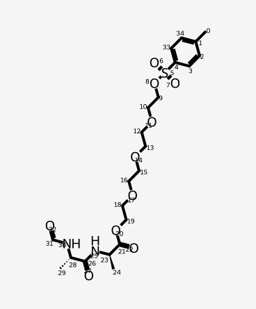 Cc1ccc(S(=O)(=O)OCCOCCOCCOCCOC(=O)[C@@H](C)NC(=O)[C@H](C)NC=O)cc1